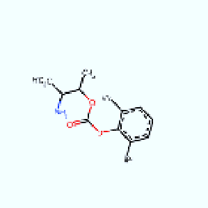 CC(C)c1cccc(C(C)C)c1OC(=O)OC(C)C(N)C(=O)O